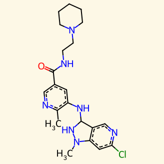 Cc1ncc(C(=O)NCCN2CCCCC2)cc1NC1NN(C)c2cc(Cl)ncc21